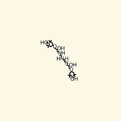 CC1(C)CC(OCC(O)CNCCNCCNCC(O)COC2CC(C)(C)N(O)C(C)(C)C2)CC(C)(C)N1O